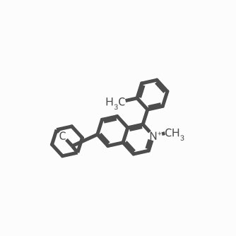 Cc1ccccc1-c1c2ccc(C3CC4CCC3CC4)cc2cc[n+]1C